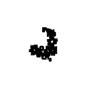 CC(=NOc1ncnc(N2CCC(c3nc(C(C)C)no3)CC2)c1[N+](=O)[O-])c1cc2ccccc2o1